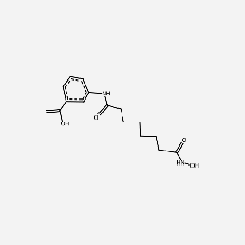 C=C(O)c1cccc(NC(=O)CCCCCCC(=O)NO)c1